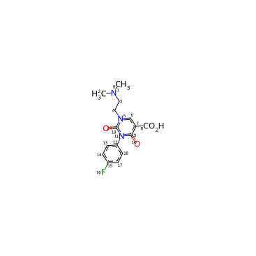 CN(C)CCn1cc(C(=O)O)c(=O)n(-c2ccc(F)cc2)c1=O